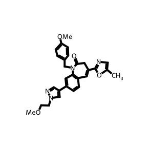 COCCn1cc(-c2ccc3c(c2)N(Cc2ccc(OC)cc2)C(=O)CC(c2ncc(C)o2)=C3)cn1